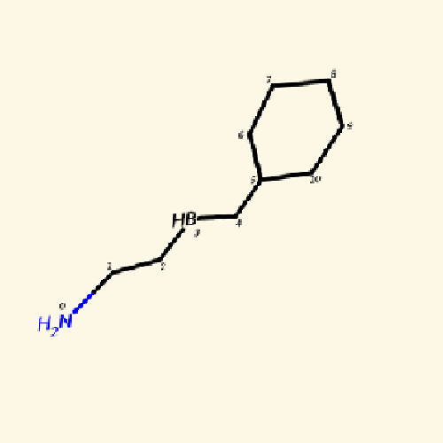 NCCBCC1CCCCC1